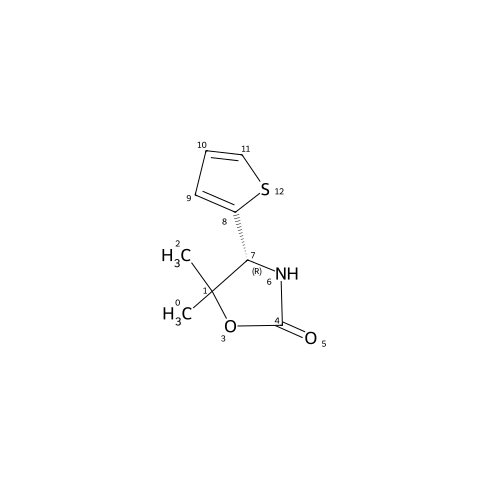 CC1(C)OC(=O)N[C@H]1c1cccs1